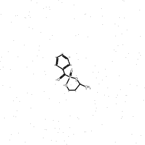 CC1CCOP(=O)(C(=O)c2ccccc2)O1